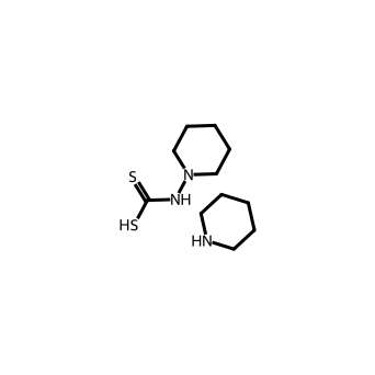 C1CCNCC1.S=C(S)NN1CCCCC1